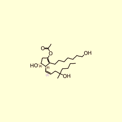 CCCCC(C)(O)C/C=C\[C@@H]1C(CCCCCCCO)=C(OC(C)=O)C[C@H]1O